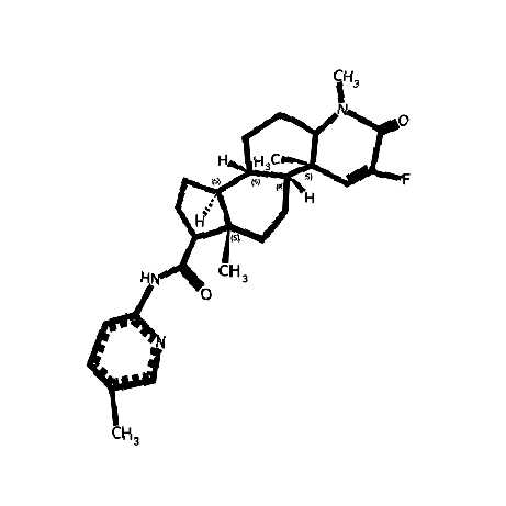 Cc1ccc(NC(=O)C2CC[C@H]3[C@@H]4CCC5N(C)C(=O)C(F)=C[C@]5(C)[C@@H]4CC[C@]23C)nc1